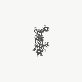 CCOC(=O)C1=C(CN2CC(F)(F)[C@H]3[C@@H]2CON3CC[C@](C)(OC)C(=O)OCc2ccccc2)NC(c2nccs2)=N[C@H]1c1ccc(F)c(F)c1Cl